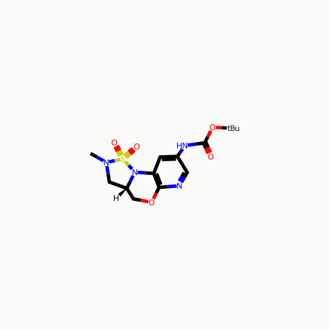 CN1C[C@H]2COc3ncc(NC(=O)OC(C)(C)C)cc3N2S1(=O)=O